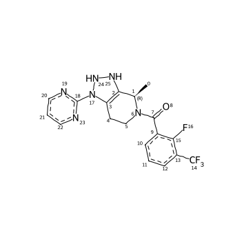 C[C@@H]1C2=C(CCN1C(=O)c1cccc(C(F)(F)F)c1F)N(c1ncccn1)NN2